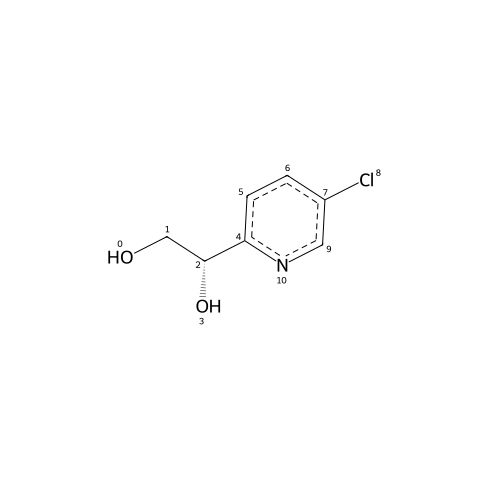 OC[C@@H](O)c1ccc(Cl)cn1